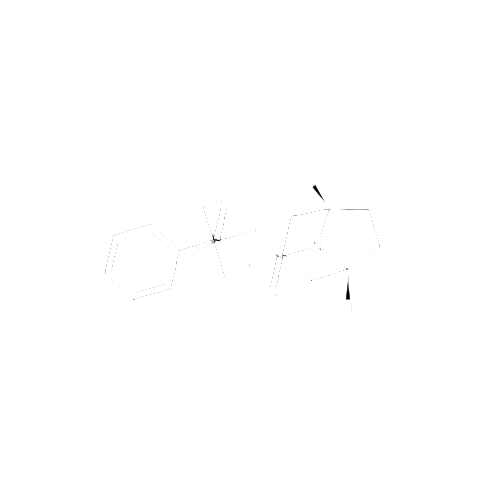 CC(C)(C)OC(=O)N1[C@@H]2CC[C@H]1C[C@@H](OC(=O)c1ccccc1)C2